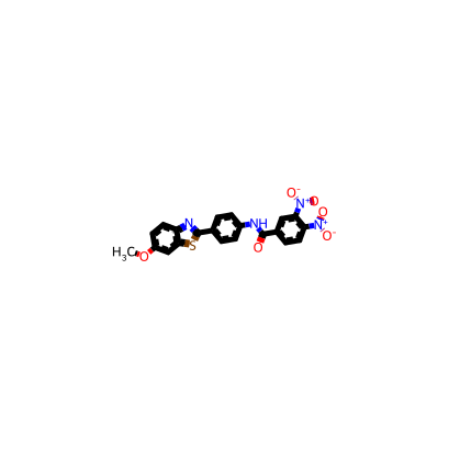 COc1ccc2nc(-c3ccc(NC(=O)c4ccc([N+](=O)[O-])c([N+](=O)[O-])c4)cc3)sc2c1